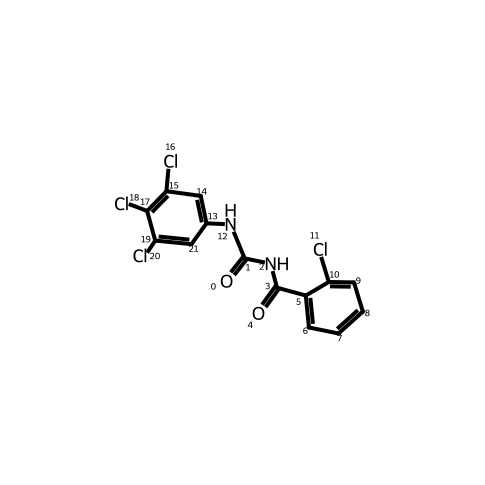 O=C(NC(=O)c1ccccc1Cl)Nc1cc(Cl)c(Cl)c(Cl)c1